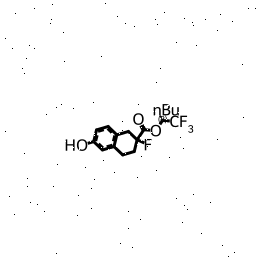 CCCC[C@@H](OC(=O)C1(F)CCc2cc(O)ccc2C1)C(F)(F)F